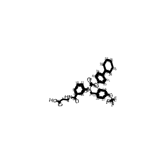 O=C(O)CCNC(=O)c1cccc(N(Cc2ccc(OC(F)(F)F)cc2)C(=O)Oc2ccc(C3CCCCC3)cc2)c1